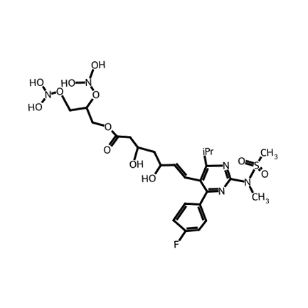 CC(C)c1nc(N(C)S(C)(=O)=O)nc(-c2ccc(F)cc2)c1/C=C/C(O)CC(O)CC(=O)OCC(CON(O)O)ON(O)O